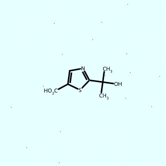 CC(C)(O)c1ncc(C(=O)O)s1